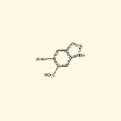 CNc1cc2cn[nH]c2cc1C(=O)O